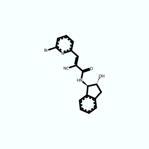 N#C/C(=C\c1cccc(Br)n1)C(=O)N[C@@H]1c2ccccc2C[C@H]1O